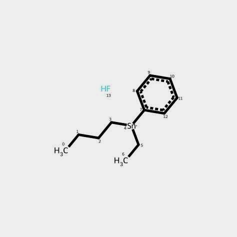 CCC[CH2][Sn]([CH2]C)[c]1ccccc1.F